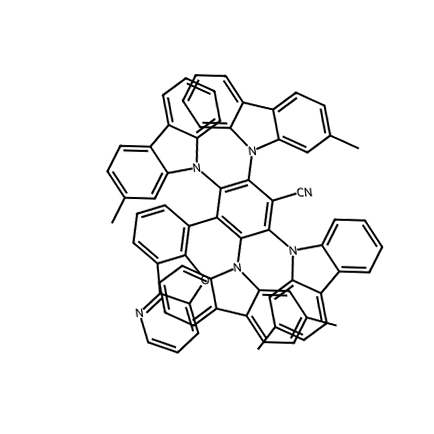 Cc1ccc2c3ccccc3n(-c3c(C#N)c(-n4c5ccccc5c5ccc(C)cc54)c(-n4c5ccccc5c5ccc(C)cc54)c(-c4cccc5c4oc4cccnc45)c3-n3c4ccccc4c4ccc(C)cc43)c2c1